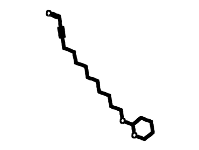 O=CC#CCCCCCCCCCCOC1CCCCO1